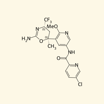 COc1ncc(NC(=O)c2ccc(Cl)cn2)cc1[C@]1(C)C[C@@H](C(F)(F)F)N=C(N)O1